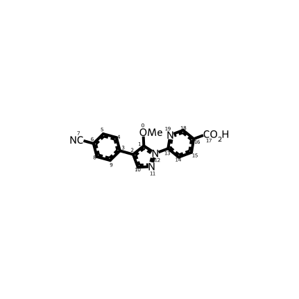 COc1c(-c2ccc(C#N)cc2)cnn1-c1ccc(C(=O)O)cn1